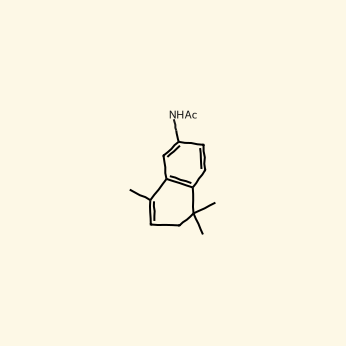 CC(=O)Nc1ccc2c(c1)C(C)=CCC2(C)C